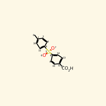 Cc1ccc(S(=O)(=O)c2ccc(C(=O)O)cc2)cc1